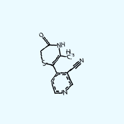 CC1=C(c2ccncc2C#N)SCC(=O)N1